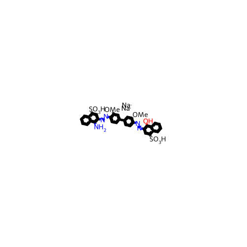 COc1cc(-c2ccc(N=Nc3cc(S(=O)(=O)O)c4ccccc4c3O)c(OC)c2)ccc1N=Nc1cc(S(=O)(=O)O)c2ccccc2c1N.[Na].[Na]